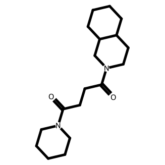 O=C(CCC(=O)N1CCC2CCCCC2C1)N1CCCCC1